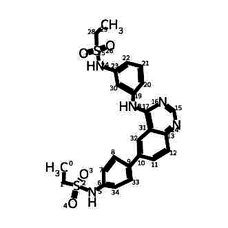 CCS(=O)(=O)Nc1ccc(-c2ccc3ncnc(Nc4cccc(NS(=O)(=O)CC)c4)c3c2)cc1